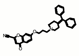 N#Cc1cc(=O)c2ccc(OCCCN3CCC(=C(c4ccccc4)c4ccccc4)CC3)cc2o1